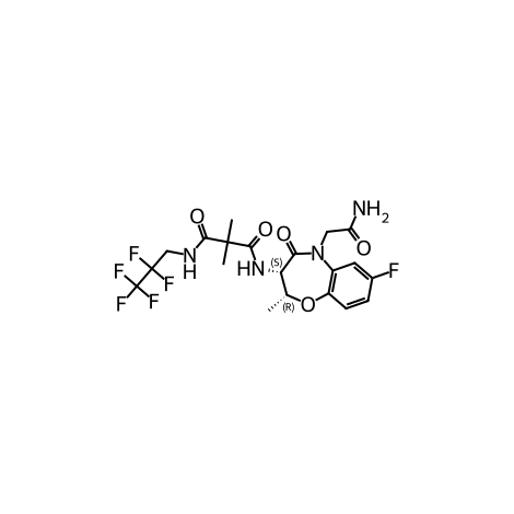 C[C@H]1Oc2ccc(F)cc2N(CC(N)=O)C(=O)[C@H]1NC(=O)C(C)(C)C(=O)NCC(F)(F)C(F)(F)F